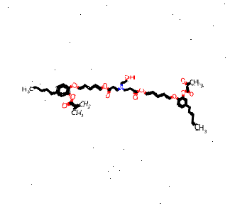 C=C(C)C(=O)Oc1cc(CCCCC)ccc1OCCCCCOC(=O)CCN(CCO)CCC(=O)OCCCCCOc1ccc(CCCCC)cc1OC(=O)C(C)=O